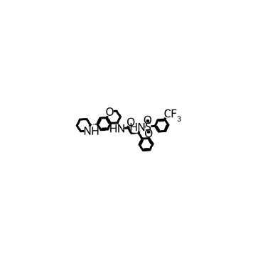 O=C(C[C@@H](NS(=O)(=O)c1cccc(C(F)(F)F)c1)c1ccccc1)N[C@H]1CCOc2cc([C@H]3CCCCN3)ccc21